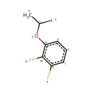 CC(I)Oc1cccc(F)c1F